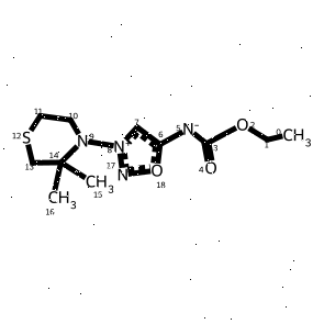 CCOC(=O)[N-]c1c[n+](N2CCSCC2(C)C)no1